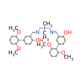 COc1cccc(OC)c1-c1ccc(O)c(/C=N/CC(C)(C)C/N=C/c2cc(-c3c(OC)cccc3OC)ccc2O)c1